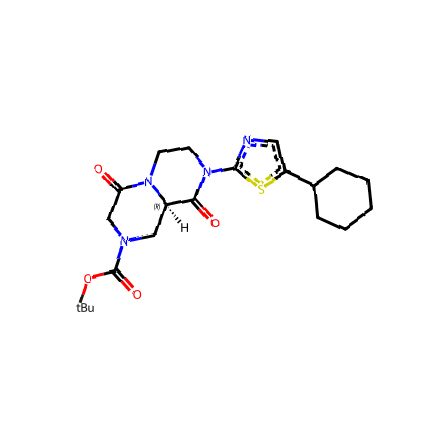 CC(C)(C)OC(=O)N1CC(=O)N2CCN(c3ncc(C4CCCCC4)s3)C(=O)[C@H]2C1